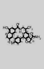 CCc1cnc2c(O)cc(C(=O)NCC(c3cc4c(c(-c5ccc(F)cc5)n3)OC[C@]4(C)C(N)=O)C(F)(F)F)cc2c1